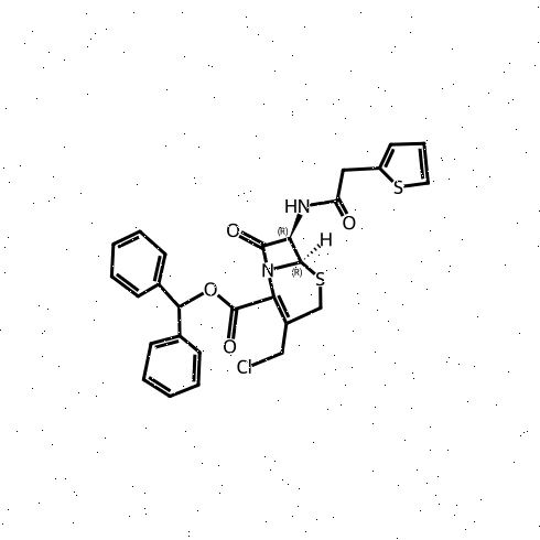 O=C(Cc1cccs1)N[C@@H]1C(=O)N2C(C(=O)OC(c3ccccc3)c3ccccc3)=C(CCl)CS[C@H]12